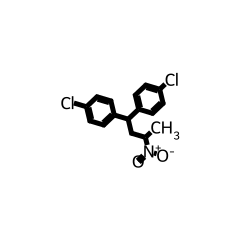 CC(CC(c1ccc(Cl)cc1)c1ccc(Cl)cc1)[N+](=O)[O-]